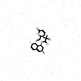 CCC(C)(C)C(=O)O[C@H]1C[C@@H](C)C=C2C=C[C@H](C)[C@H](CCC3CC=CC(=O)O3)C21